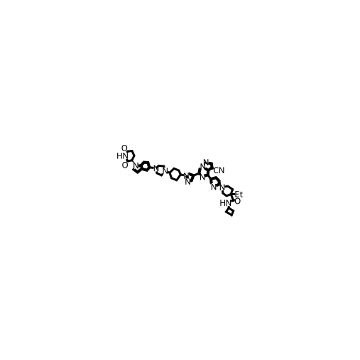 CCC1(C(=O)NC2CCC2)CCN(c2ccc(-c3nc(-c4cnn(C5CCC(N6CCN(c7ccc8c(ccn8[C@@H]8CCC(=O)NC8=O)c7)CC6)CC5)c4)cn4ncc(C#N)c34)cn2)CC1